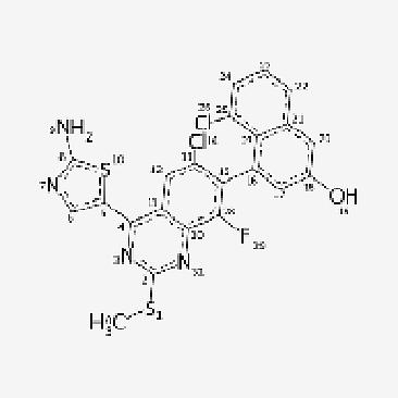 CSc1nc(-c2cnc(N)s2)c2cc(Cl)c(-c3cc(O)cc4cccc(Cl)c34)c(F)c2n1